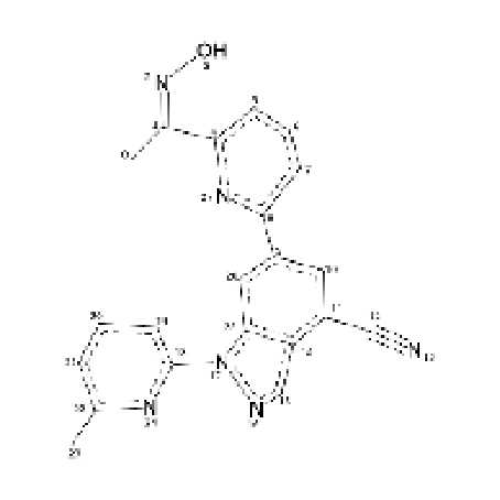 C/C(=N/O)c1cccc(-c2cc(C#N)c3cnn(-c4cccc(C)n4)c3c2)n1